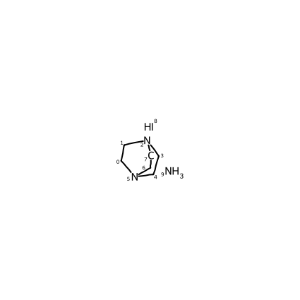 C1CN2CCN1CC2.I.N